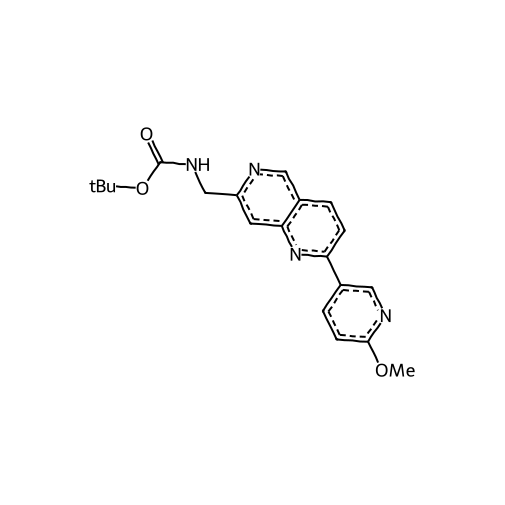 COc1ccc(-c2ccc3cnc(CNC(=O)OC(C)(C)C)cc3n2)cn1